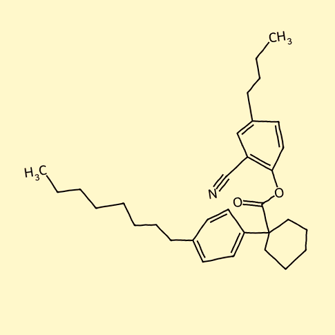 CCCCCCCCc1ccc(C2(C(=O)Oc3ccc(CCCC)cc3C#N)CCCCC2)cc1